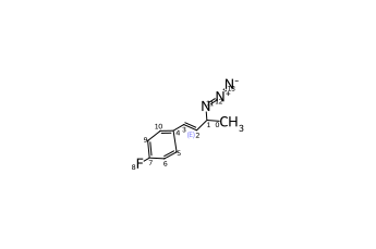 CC(/C=C/c1ccc(F)cc1)N=[N+]=[N-]